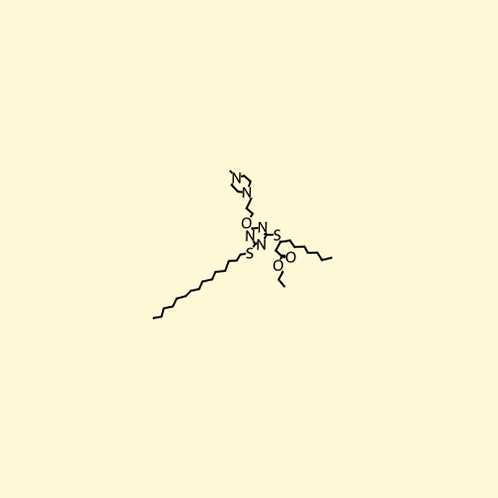 CCCCCCCCCCCCCCCSc1nc(OCCCN2CCN(C)CC2)nc(SC(CCCCCCC)CC(=O)OCCC)n1